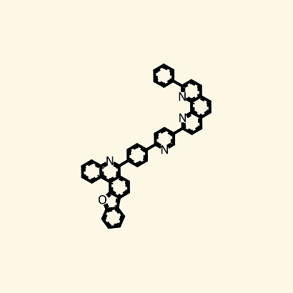 c1ccc(-c2ccc3ccc4ccc(-c5ccc(-c6ccc(-c7nc8ccccc8c8c7ccc7c9ccccc9oc78)cc6)nc5)nc4c3n2)cc1